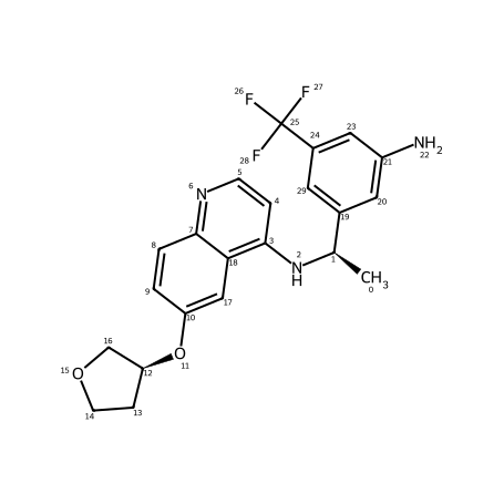 C[C@@H](Nc1ccnc2ccc(O[C@H]3CCOC3)cc12)c1cc(N)cc(C(F)(F)F)c1